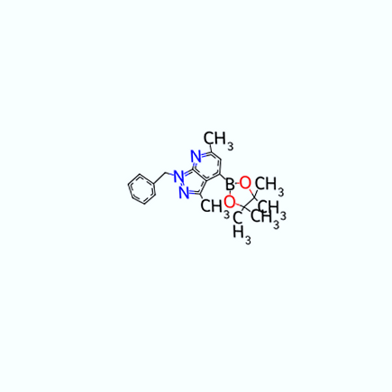 Cc1cc(B2OC(C)(C)C(C)(C)O2)c2c(C)nn(Cc3ccccc3)c2n1